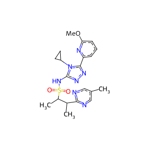 COc1cccc(-c2nnc(NS(=O)(=O)C(C)C(C)c3ncc(C)cn3)n2C2CC2)n1